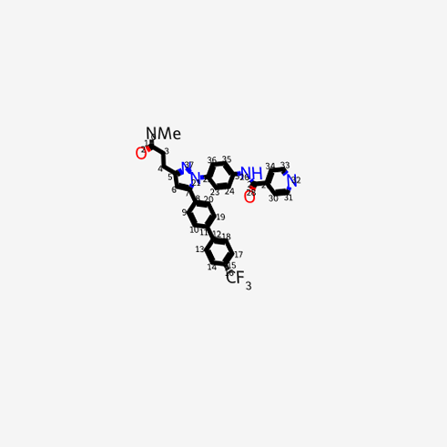 CNC(=O)CCc1cc(-c2ccc(-c3ccc(C(F)(F)F)cc3)cc2)n(-c2ccc(NC(=O)c3ccncc3)cc2)n1